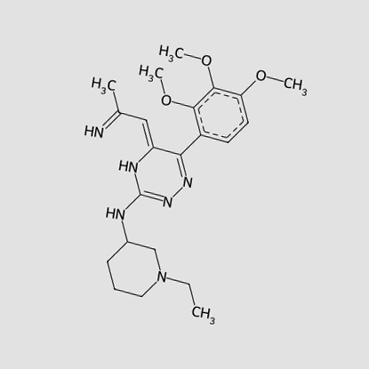 CCN1CCCC(NC2=NN=C(c3ccc(OC)c(OC)c3OC)/C(=C/C(C)=N)N2)C1